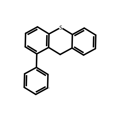 [c]1cccc(-c2cccc3c2Cc2ccccc2S3)c1